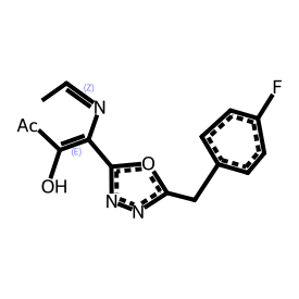 C/C=N\C(=C(\O)C(C)=O)c1nnc(Cc2ccc(F)cc2)o1